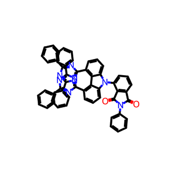 O=C1c2cccc(-n3c4cccc(-c5nc(-c6ccccc6)nc(-c6ccccc6)n5)c4c4c(-c5nc(-c6ccccc6)nc(-c6ccccc6)n5)cccc43)c2C(=O)N1c1ccccc1